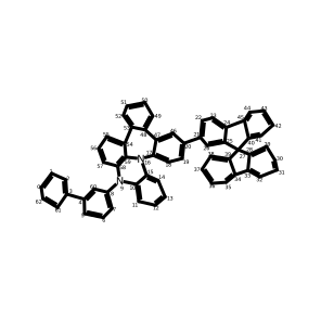 c1ccc(-c2cccc(N3c4ccccc4N4c5ccc(-c6ccc7c(c6)C6(c8ccccc8-c8ccccc86)c6ccccc6-7)cc5-c5ccccc5-c5cccc3c54)c2)cc1